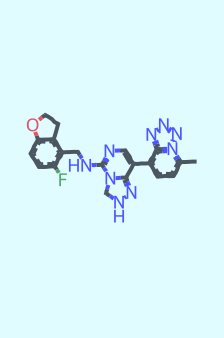 Cc1ccc(C2=CN=C(NCc3c(F)ccc4c3CCO4)N3CNN=C23)c2nnnn12